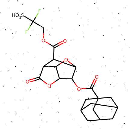 O=C1OC2C(OC(=O)C34CC5CC(CC(C5)C3)C4)C3OC2C1C3C(=O)OCC(F)(F)S(=O)(=O)O